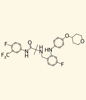 CC(C)(NCc1ccc(F)cc1Nc1ccc(OC2CCOCC2)cc1)C(=O)Nc1ccc(F)c(C(F)(F)F)c1